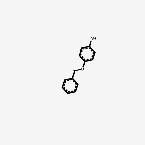 Oc1ccc(O[CH]c2ccccc2)cc1